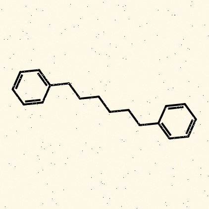 [CH](CCCCCc1ccccc1)c1ccccc1